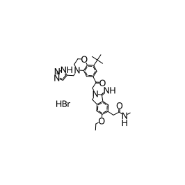 Br.CCOc1cc2c(cc1CC(=O)NC)C(=N)N(CC(=O)c1cc3c(c(C(C)(C)C)c1)OCCN3Cc1cnn[nH]1)C2